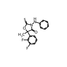 CC1(c2cccc(F)c2F)OC(=S)N(Nc2ccccc2)C1=O